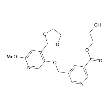 COc1cc(C2OCCO2)c(OCc2cncc(C(=O)OCCO)c2)cn1